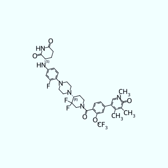 Cc1c(-c2ccc(C(=O)N3CC[C@@H](N4CCN(c5ccc(N[C@H]6CCC(=O)NC6=O)cc5F)CC4)C(F)(F)C3)c(OC(F)(F)F)c2)cn(C)c(=O)c1C